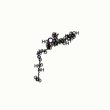 CCN(C(C)=O)[C@H]1CO[C@@H](O[C@H]2[C@H](O[C@H]3C#C/C=C\C#C[C@]4(O)CC(=O)C(NC(=O)OC)=C3/C4=C\CSSC(C)(C)CCC(=O)NCCO/N=C(/C)c3ccc(OCCCC(=O)NCCNCCCCCCN4C(=O)C=CC4=O)cc3)O[C@H](C)[C@@H](NO[C@H]3C[C@H](O)[C@H](SC(=O)c4c(C)c(I)c(O[C@@H]5O[C@@H](C)[C@H](O)[C@@H](OC)[C@H]5O)c(OC)c4OC)[C@@H](C)O3)[C@H]2O)C[C@@H]1OC